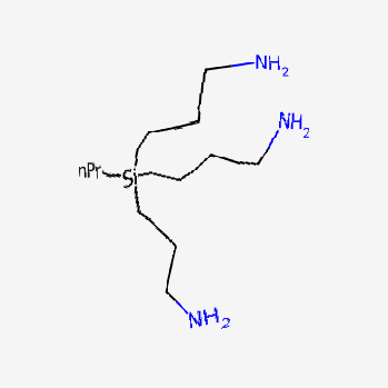 CCC[Si](CCCN)(CCCN)CCCN